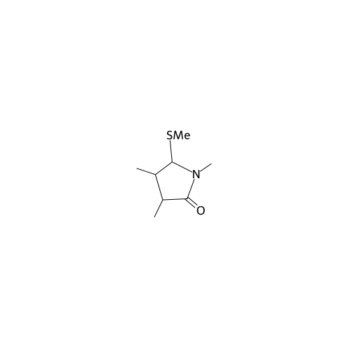 CSC1C(C)C(C)C(=O)N1C